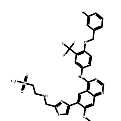 COc1cc2ncnc(Nc3ccc(OCc4cccc(F)c4)c(C(F)(F)F)c3)c2cc1-c1csc(CNCCS(C)(=O)=O)n1